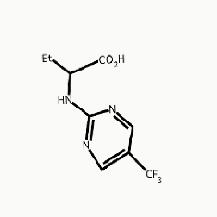 CCC(Nc1ncc(C(F)(F)F)cn1)C(=O)O